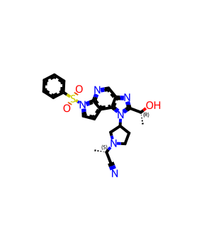 C[C@@H](O)c1nc2cnc3c(ccn3S(=O)(=O)c3ccccc3)c2n1C1CCN([C@@H](C)C#N)C1